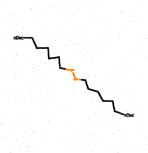 CCCCCCCCCCCCCCCC[P][P]CCCCCCCCCCCCCCCC